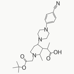 CC(C(=O)O)C1C(C)N(CC(=O)OC(C)(C)C)CCC1N1CCN(c2ccc(C#N)cc2)CC1